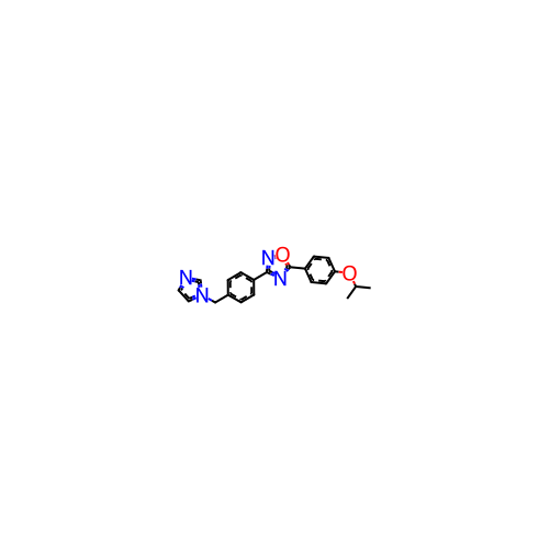 CC(C)Oc1ccc(-c2nc(-c3ccc(Cn4ccnc4)cc3)no2)cc1